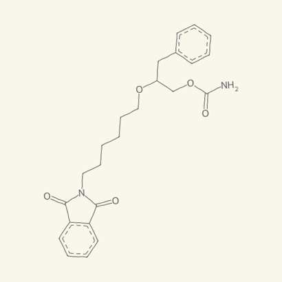 NC(=O)OCC(Cc1ccccc1)OCCCCCCN1C(=O)c2ccccc2C1=O